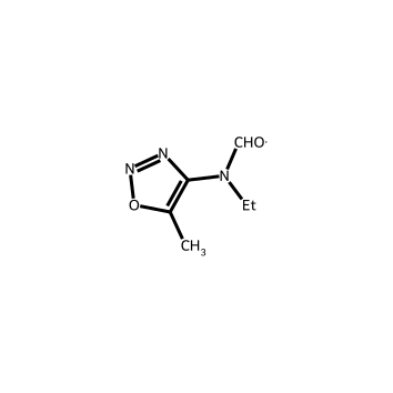 CCN([C]=O)c1nnoc1C